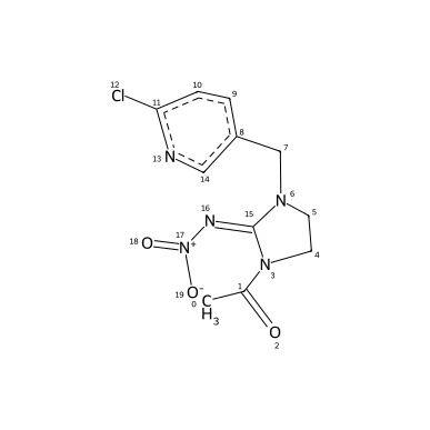 CC(=O)N1CCN(Cc2ccc(Cl)nc2)C1=N[N+](=O)[O-]